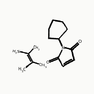 CC(C)=C(C)[SiH3].O=C1C=CC(=O)N1C1CCCCC1